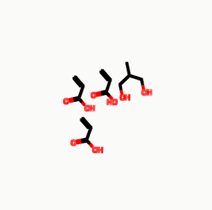 C=CC(=O)O.C=CC(=O)O.C=CC(=O)O.CC(CO)CO